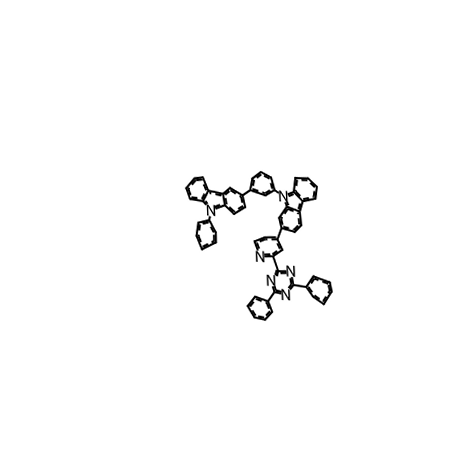 c1ccc(-c2nc(-c3ccccc3)nc(-c3cc(-c4ccc5c6ccccc6n(-c6cccc(-c7ccc8c(c7)c7ccccc7n8-c7ccccc7)c6)c5c4)ccn3)n2)cc1